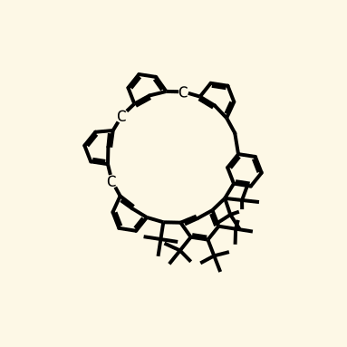 CC(C)(C)c1c2cc(c(C(C)(C)C)c1C(C)(C)C)C(C(C)(C)C)(C(C)(C)C)c1cccc(c1)Cc1cccc(c1)Cc1cccc(c1)Cc1cccc(c1)Cc1cccc(c1)C2C(C)(C)C